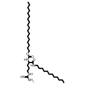 CCCCCCCCCCCCCCCCCCOC(=O)NC(CCCNC(=N)N)C(=O)NCCCCCCCCCCCC